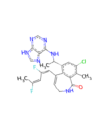 C/C(F)=C\C(F)=C/C1=CCNC(=O)c2c(C)c(Cl)cc(C(C)Nc3ncnc4[nH]cnc34)c21